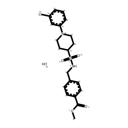 COC(=O)c1ccc(CNS(=O)(=O)C2CCN(c3cccc(Cl)c3)CC2)cc1.Cl